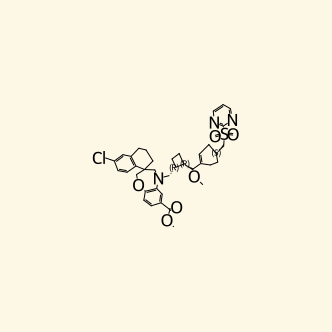 COC(=O)c1ccc2c(c1)N(C[C@@H]1CC[C@H]1C(OC)C1=CC[C@@H](CS(=O)(=O)c3ncccn3)CC1)CC1(CCCc3cc(Cl)ccc31)CO2